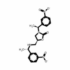 C[C@H](NC[C@H]1CN([C@@H](C)c2cccc([N+](=O)[O-])c2)C(=O)O1)c1cccc([N+](=O)[O-])c1